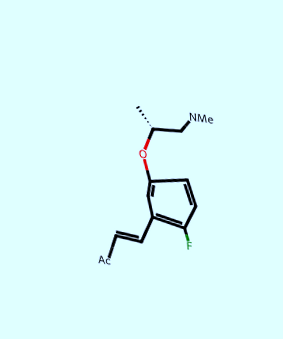 CNC[C@@H](C)Oc1ccc(F)c(/C=C/C(C)=O)c1